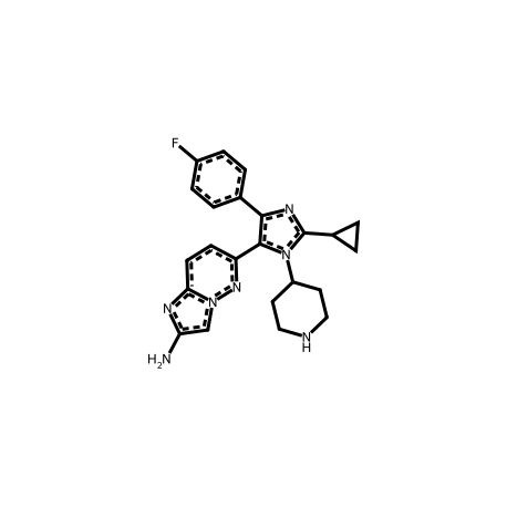 Nc1cn2nc(-c3c(-c4ccc(F)cc4)nc(C4CC4)n3C3CCNCC3)ccc2n1